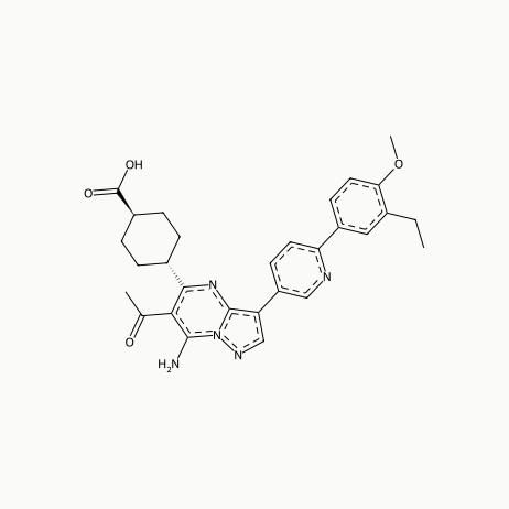 CCc1cc(-c2ccc(-c3cnn4c(N)c(C(C)=O)c([C@H]5CC[C@H](C(=O)O)CC5)nc34)cn2)ccc1OC